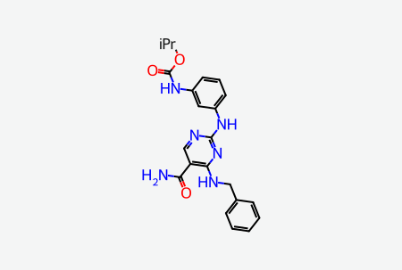 CC(C)OC(=O)Nc1cccc(Nc2ncc(C(N)=O)c(NCc3ccccc3)n2)c1